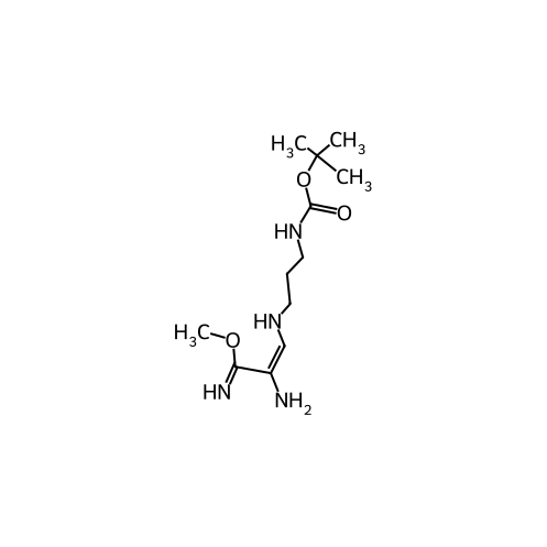 COC(=N)/C(N)=C\NCCCNC(=O)OC(C)(C)C